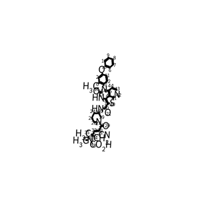 Cc1cc(Oc2ccccc2)ccc1N1C(=O)Nc2c(C(=O)NC3CCCN(C(=O)C(C#N)=CC(C)(C)N(C)C(=O)O)C3)sc3nccc1c23